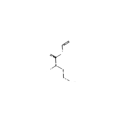 C=COC(=O)C(F)CCCCCCC